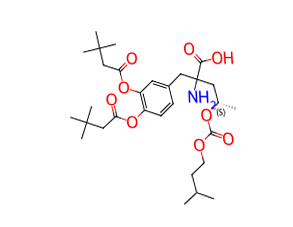 CC(C)CCOC(=O)O[C@@H](C)CC(N)(Cc1ccc(OC(=O)CC(C)(C)C)c(OC(=O)CC(C)(C)C)c1)C(=O)O